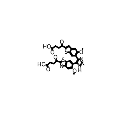 COc1cc2cc(C(=O)CCC(=O)O)sc2cc1-c1nn[nH]c1-c1cc2sc(C(=O)CCC(=O)O)nc2cc1OC